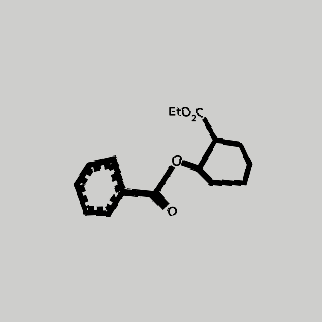 CCOC(=O)C1CCCCC1OC(=O)c1ccccc1